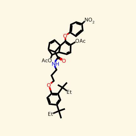 CCC(C)(C)c1ccc(OCCCNC(=O)C2C3C=CC24C(Oc2ccc([N+](=O)[O-])cc2)=C(OC(C)=O)C=CC4C3OC(C)=O)c(C(C)(C)CC)c1